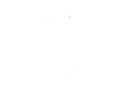 CC/C(=N/O)c1ccc(OC(F)(F)F)cc1